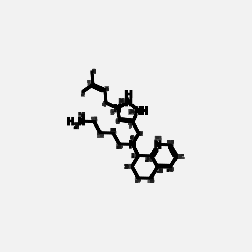 CC(C)=CCN1C=C(CN(CCCCN)C2CCCc3cccnc32)NN1